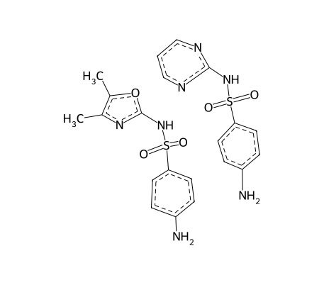 Cc1nc(NS(=O)(=O)c2ccc(N)cc2)oc1C.Nc1ccc(S(=O)(=O)Nc2ncccn2)cc1